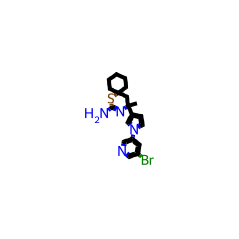 CC1(c2ccn(-c3cncc(Br)c3)c2)CC2(CCCCC2)SC(N)=N1